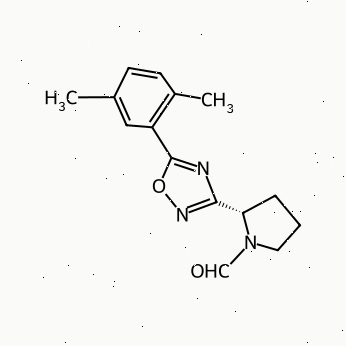 Cc1ccc(C)c(-c2nc([C@@H]3CCCN3C=O)no2)c1